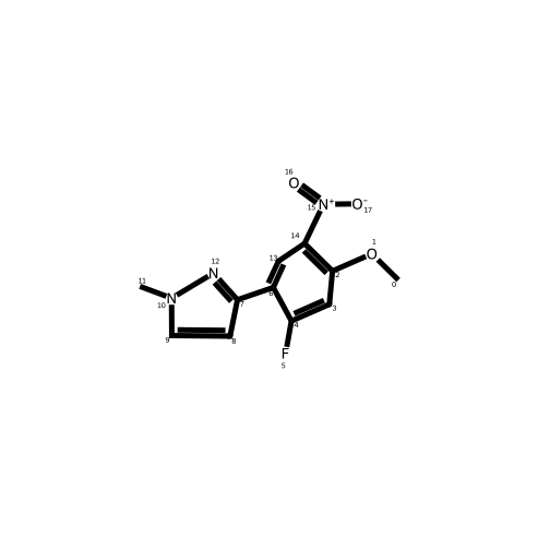 COc1cc(F)c(-c2ccn(C)n2)cc1[N+](=O)[O-]